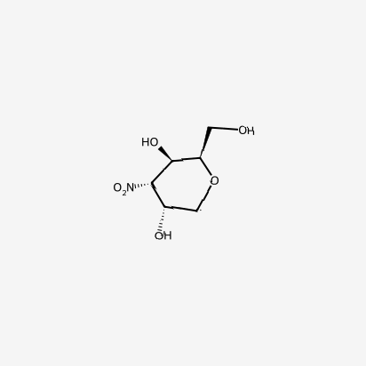 O=[N+]([O-])[C@@H]1[C@@H](O)[C@@H](CO)O[CH][C@@H]1O